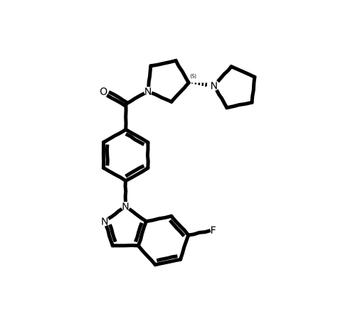 O=C(c1ccc(-n2ncc3ccc(F)cc32)cc1)N1CC[C@H](N2CCCC2)C1